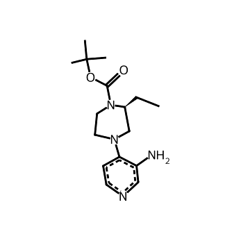 CC[C@H]1CN(c2ccncc2N)CCN1C(=O)OC(C)(C)C